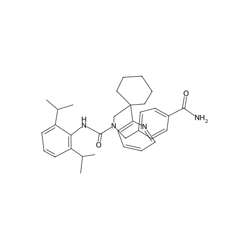 CC(C)c1cccc(C(C)C)c1NC(=O)N(Cc1ccc(C(N)=O)cc1)CC1(c2ccccn2)CCCCC1